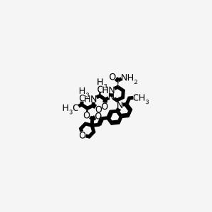 CCc1ccc2ccc(/C=C/C3(C(=O)O[C@H](C(=O)N[C@@H](C)C(=O)N4CCC[C@@H](C(N)=O)N4)C(C)C)CCOCC3)cc2n1